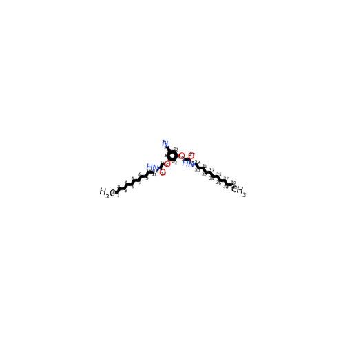 CCCCCCCCCCCCNC(=O)COc1cc(C#N)cc(OCC(=O)NCCCCCCCCCCCC)c1